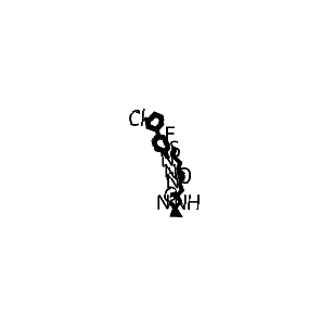 N#CC1(NC(=O)Cc2nnc(Cc3nc4ccc(-c5cccc(Cl)c5)c(F)c4s3)o2)CC1